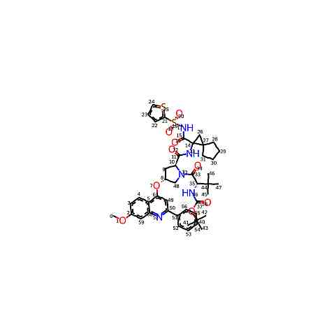 COc1ccc2c(O[C@@H]3C[C@@H](C(=O)NC4(C(=O)NS(=O)(=O)c5cccs5)CC45CCCC5)N(C(=O)[C@@H](NC(=O)OC(C)(C)C)C(C)(C)C)C3)cc(-c3ccccc3)nc2c1